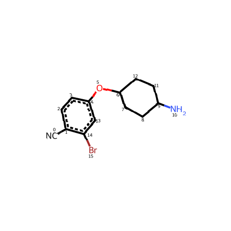 N#Cc1ccc(OC2CCC(N)CC2)cc1Br